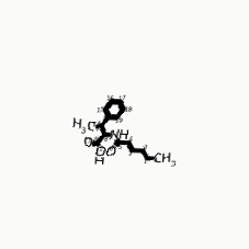 CCCCCC(=O)NC(C(=O)O)C(C)c1ccccc1